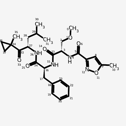 COC[C@H](NC(=O)c1cc(C)on1)C(=O)N[C@@H](Cc1ccccc1)C(=O)N[C@@H](CC(C)C)C(=O)C1(C)CC1